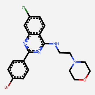 Clc1ccc2c(NCCN3CCOCC3)nc(-c3ccc(Br)cc3)nc2c1